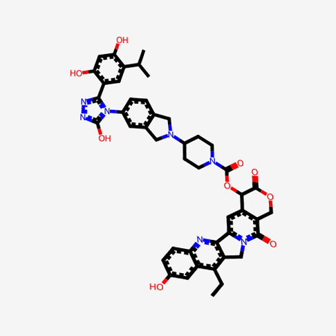 CCc1c2c(nc3ccc(O)cc13)-c1cc3c(c(=O)n1C2)COC(=O)C3OC(=O)N1CCC(N2Cc3ccc(-n4c(O)nnc4-c4cc(C(C)C)c(O)cc4O)cc3C2)CC1